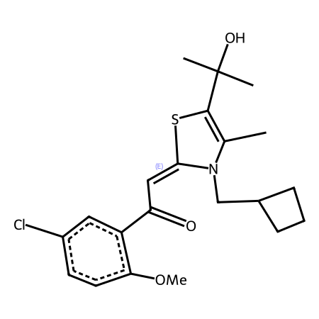 COc1ccc(Cl)cc1C(=O)/C=C1/SC(C(C)(C)O)=C(C)N1CC1CCC1